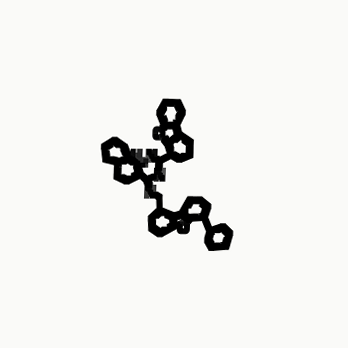 N/C(=N\C(=N/Cc1cccc2oc3c(-c4ccccc4)cccc3c12)c1ccc2ccccc2c1)c1cccc2c1oc1ccccc12